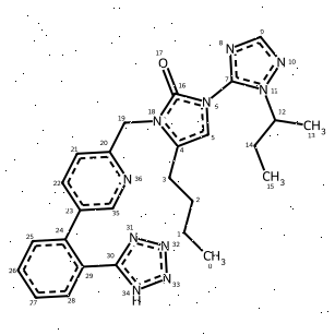 CCCCc1cn(-c2ncnn2C(C)CC)c(=O)n1Cc1ccc(-c2ccccc2-c2nnn[nH]2)cn1